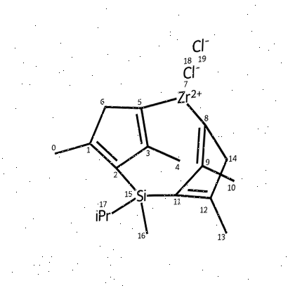 CC1=C2C(C)=[C](C1)[Zr+2][C]1=C(C)C(=C(C)C1)[Si]2(C)C(C)C.[Cl-].[Cl-]